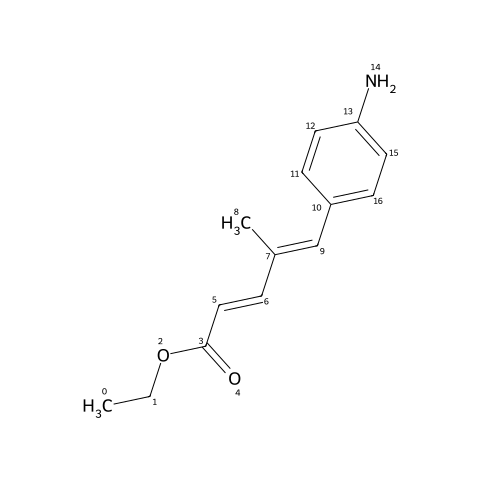 CCOC(=O)/C=C/C(C)=C/c1ccc(N)cc1